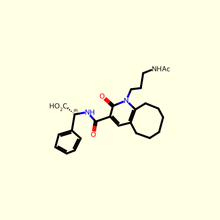 CC(=O)NCCCn1c2c(cc(C(=O)N[C@@H](C(=O)O)c3ccccc3)c1=O)CCCCCC2